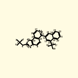 CC(C)(C)Cc1nc2ccc3c(-c4cc(C(C)(C)C)c5ccccc5c4)nccc3c2s1